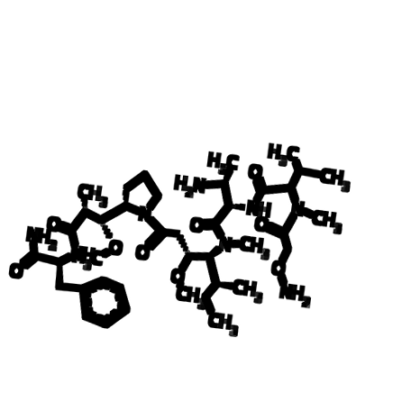 CC[C@H](C)[C@@H]([C@@H](CC(=O)N1CCC[C@H]1[C@H](OC)[C@@H](C)C(=O)N[C@@H](Cc1ccccc1)C(N)=O)OC)N(C)C(=O)[C@@H](NC(=O)C(C(C)C)N(C)C(=O)CON)[C@H](C)N